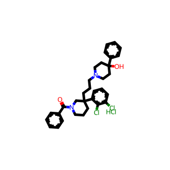 Cl.O=C(c1ccccc1)N1CCCC(CCCN2CCC(O)(c3ccccc3)CC2)(c2cccc(Cl)c2Cl)C1